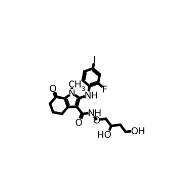 Cn1c(Nc2ccc(I)cc2F)c(C(=O)NOCC(O)CCO)c2c1C(=O)CCC2